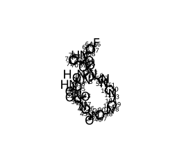 Nc1ncc(-c2cnn(C3CCN(CC4CCN(CC5CCN(C(=O)C6CCN(C7=CC(=O)N(C8CCC(=O)NC8=O)C7=O)CC6)CC5)CC4)CC3)c2)nc1C(=O)O[C@@H](C(=O)Nc1ccc(F)cc1)c1ccccc1